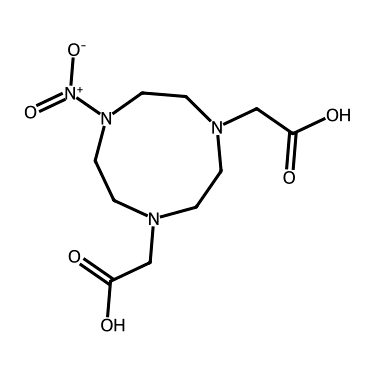 O=C(O)CN1CCN(CC(=O)O)CCN([N+](=O)[O-])CC1